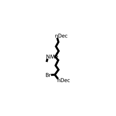 CCCCCCCCCCCCCCCCCC(Br)CCCCCCCCCC.CNC